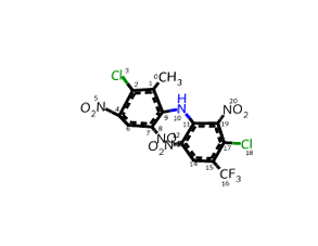 Cc1c(Cl)c([N+](=O)[O-])cc([N+](=O)[O-])c1Nc1c([N+](=O)[O-])cc(C(F)(F)F)c(Cl)c1[N+](=O)[O-]